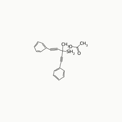 CC(=O)O[SiH2]C(C)(C#Cc1ccccc1)C#Cc1ccccc1